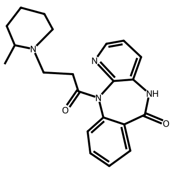 CC1CCCCN1CCC(=O)N1c2ccccc2C(=O)Nc2cccnc21